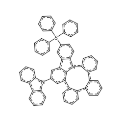 c1ccc(S(c2ccccc2)(c2ccccc2)c2ccc3c(c2)c2cc(-n4c5ccccc5c5ccccc54)cc4c5ccccc5c5ccccc5c5ccccc5n3c42)cc1